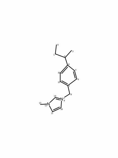 CCC(C)c1ccc(C[n+]2ccn(C)c2)cc1